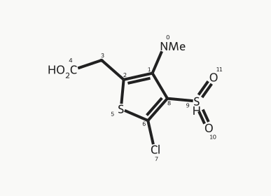 CNc1c(CC(=O)O)sc(Cl)c1[SH](=O)=O